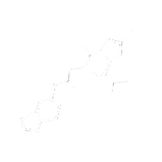 CC(C)c1nn(CC(=O)Nc2ccc3nncn3c2)c(=O)c2cc(I)cn12